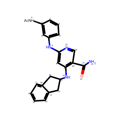 CC(=O)Nc1cccc(Nc2cc(NC3Cc4ccccc4C3)c(C(N)=O)cn2)c1